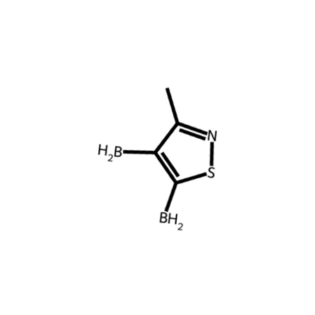 Bc1snc(C)c1B